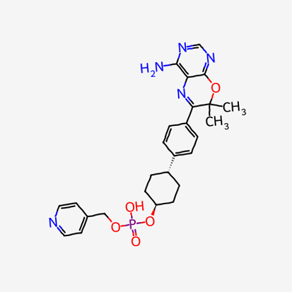 CC1(C)Oc2ncnc(N)c2N=C1c1ccc([C@H]2CC[C@H](OP(=O)(O)OCc3ccncc3)CC2)cc1